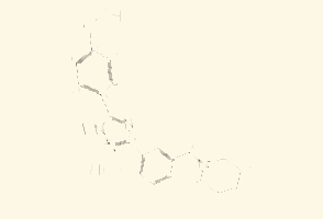 COc1ccc(-c2nc(-c3cccc(CN4CCCCC4)c3)n[nH]2)cc1.Cl